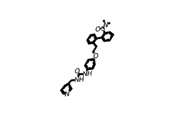 CN(C)[S+]([O-])c1ccccc1-c1ccccc1CCOc1ccc(NC(=O)NCc2cccnc2)cc1